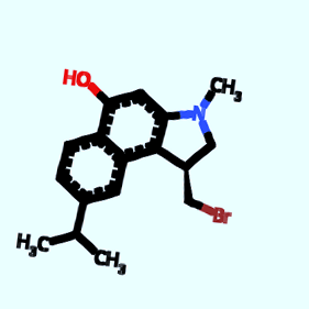 CC(C)c1ccc2c(O)cc3c(c2c1)[C@H](CBr)CN3C